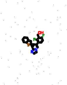 OCc1c(F)ccc(-c2cn3ccnc3c3c2C32C=C3C=CC=CC3S2)c1F